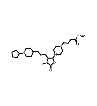 COC(=O)CCCN1CCN(C2OC(=O)N(C)C2CCCC2CCN(C3CCCC3)CC2)CC1